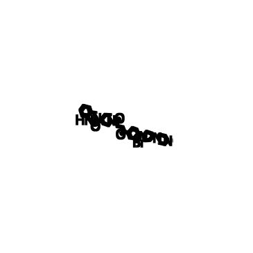 CN1CCN(C2CCN(c3ccc(C(=O)CCC(=O)N4CCC(N5Cc6ccccc6NC5=O)CC4)cc3Br)CC2)CC1